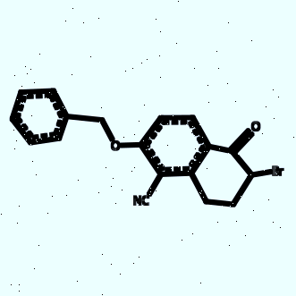 N#Cc1c(OCc2ccccc2)ccc2c1CCC(Br)C2=O